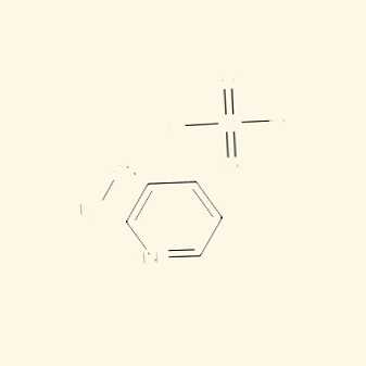 CC#N.[O]=[Cr](=[O])([O-])[Cl].c1cc[nH+]cc1